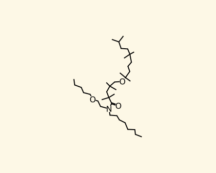 CCCCCCCCN(CCOCCCCC)C(=O)C(C)(C)CC(C)(C)COC(C)(C)CCCC(C)(C)CCC(C)C